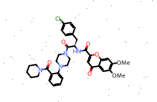 COc1cc2oc(C(=O)N[C@H](Cc3ccc(Cl)cc3)C(=O)N3CCN(c4ccccc4C(=O)N4CCCCC4)CC3)cc(=O)c2cc1OC